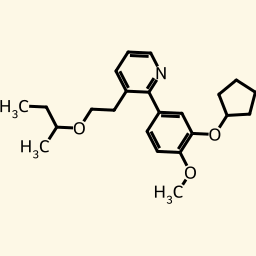 CCC(C)OCCc1cccnc1-c1ccc(OC)c(OC2CCCC2)c1